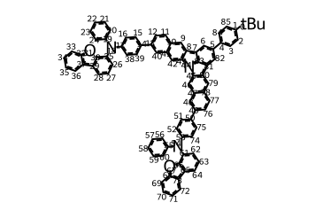 CC(C)(C)c1ccc(-c2cc3c4cc5ccc(-c6ccc(N(c7ccccc7)c7cccc8c7oc7ccccc78)cc6)cc5cc4n4c5cc6cc(-c7ccc(N(c8ccccc8)c8cccc9c8oc8ccccc89)cc7)ccc6cc5c(c2)c34)cc1